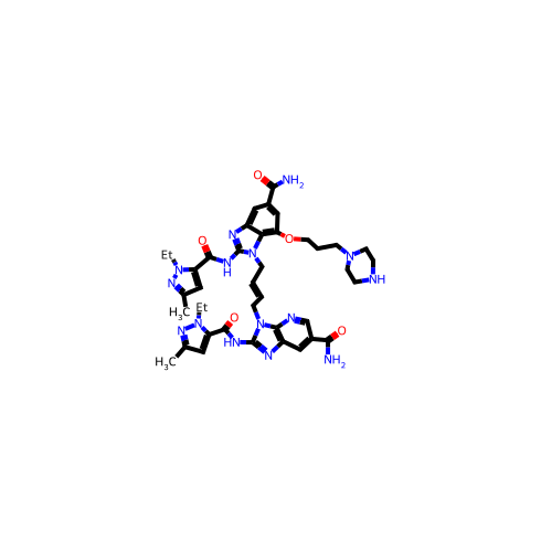 CCn1nc(C)cc1C(=O)Nc1nc2cc(C(N)=O)cnc2n1C/C=C/Cn1c(NC(=O)c2cc(C)nn2CC)nc2cc(C(N)=O)cc(OCCCN3CCNCC3)c21